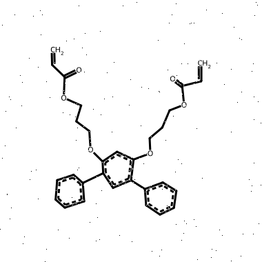 C=CC(=O)OCCCOc1cc(OCCCOC(=O)C=C)c(-c2ccccc2)cc1-c1ccccc1